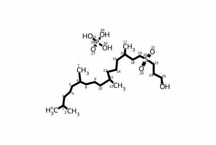 CC(C)CCCC(C)CCCC(C)CCCC(C)CCS(=O)(=O)CCCO.O=P(O)(O)O